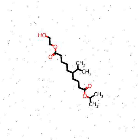 CC(C)OC(=O)CCCC(CCCCC(=O)OCCO)C(C)C